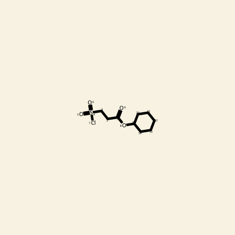 O=C(CCS(=O)(=O)Cl)OC1CCCCC1